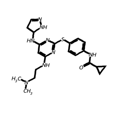 CN(C)CCNc1cc(NC2CC=NN2)nc(Sc2ccc(NC(=O)C3CC3)cc2)n1